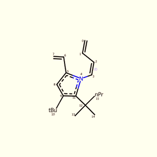 C=C/C=C\n1c(C=C)cc(C(C)(C)C)c1C(C)(C)CCC